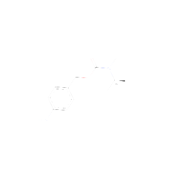 C[C@H](C(=O)O)N(C)C(=O)OCc1ccc(N)cc1